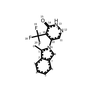 Cc1c2ccccc2cn1-c1cn[nH]c(=O)c1C(F)(F)F